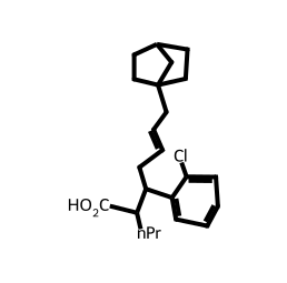 CCCC(C(=O)O)C(CC=CCC12CCC(CC1)C2)c1ccccc1Cl